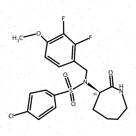 COc1ccc(CN([C@@H]2CCCCNC2=O)S(=O)(=O)c2ccc(Cl)cc2)c(F)c1F